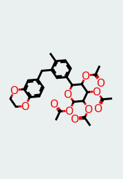 CC(=O)OC1OC(c2ccc(C)c(Cc3ccc4c(c3)OCCO4)c2)C(OC(C)=O)C(OC(C)=O)C1OC(C)=O